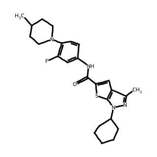 Cc1nn(C2CCCCC2)c2sc(C(=O)Nc3ccc(N4CCC(C)CC4)c(F)c3)cc12